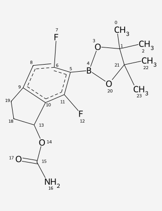 CC1(C)OB(c2c(F)cc3c(c2F)C(OC(N)=O)CC3)OC1(C)C